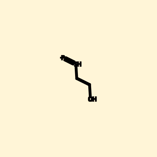 OCC[SH]=[P]